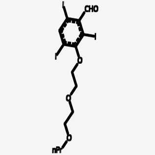 CCCOCCOCCOc1c(I)cc(I)c(C=O)c1I